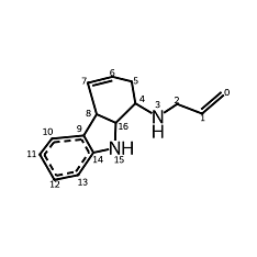 C=CCNC1CC=CC2c3ccccc3NC12